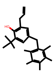 C=CCc1cc(Cc2c(C)c(C)c(C)c(C)c2C)cc(C(C)(C)C)c1O